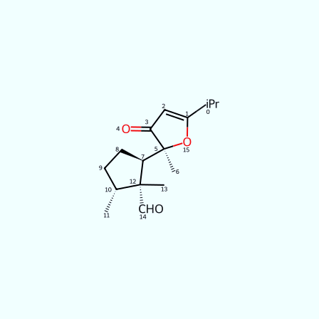 CC(C)C1=CC(=O)[C@](C)([C@@H]2CC[C@@H](C)[C@@]2(C)C=O)O1